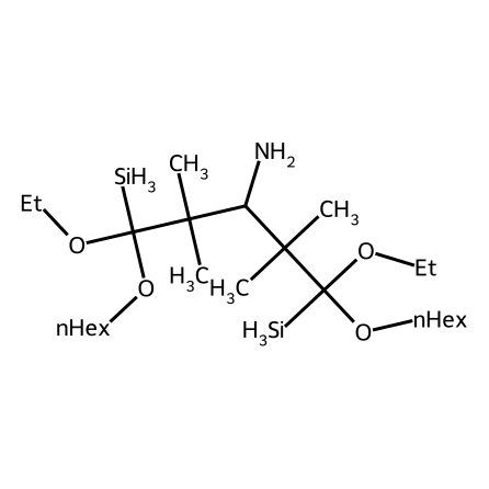 CCCCCCOC([SiH3])(OCC)C(C)(C)C(N)C(C)(C)C([SiH3])(OCC)OCCCCCC